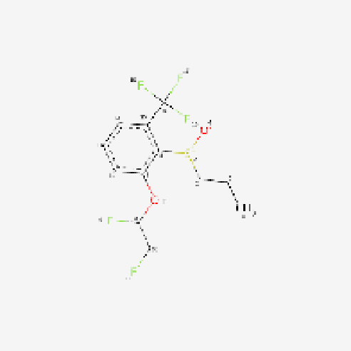 CCC[S+]([O-])c1c(OC(F)CF)cccc1C(F)(F)F